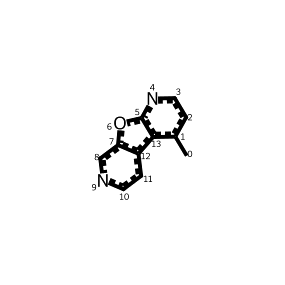 Cc1ccnc2oc3cnccc3c12